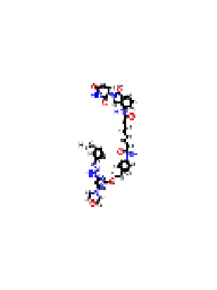 Cc1cccc(/C=N/Nc2cc(N3CCOCC3)nc(OCCc3ccc(NC(=O)CCCCCCC(=O)Nc4cccc5c4CN(C4CCC(=O)NC4=O)C5=O)cc3)n2)c1